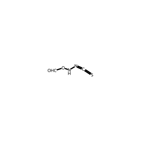 O=CONN=C=S